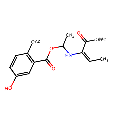 CC=C(NC(C)OC(=O)c1cc(O)ccc1OC(C)=O)C(=O)OC